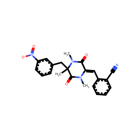 CN1C(=O)C(C)(Cc2cccc([N+](=O)[O-])c2)N(C)C(=O)C1=Cc1ccccc1C#N